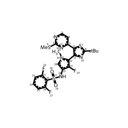 CSc1nccc(-c2sc(C(C)(C)C)nc2-c2c(F)c(NS(=O)(=O)c3c(F)cccc3F)cn2C)n1